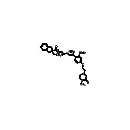 CN/C(=C\SCCNC(=O)C1(CC(=O)O)Cc2ccccc2C1)c1ccc(OCCN2CCN(C)C(=O)C2)cc1OC